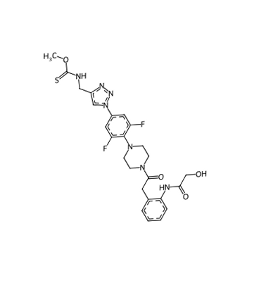 COC(=S)NCc1cn(-c2cc(F)c(N3CCN(C(=O)Cc4ccccc4NC(=O)CO)CC3)c(F)c2)nn1